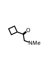 [CH2]NCC(=O)C1CCC1